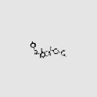 Cc1cnc(NCCc2ccc(F)cc2)c(=O)n1CC(=O)NC1CCN(C(=N)N)OC1